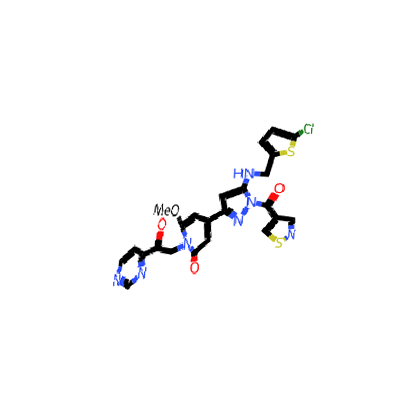 COc1cc(-c2cc(NCc3ccc(Cl)s3)n(C(=O)c3cnsc3)n2)cc(=O)n1CC(=O)c1ccncn1